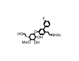 CO[C@H]1[C@H](CCO)C[C@@H](Oc2ccc(CCNC(C)=O)c(-c3cccc(F)c3)c2)[C@H](O)[C@@H]1O